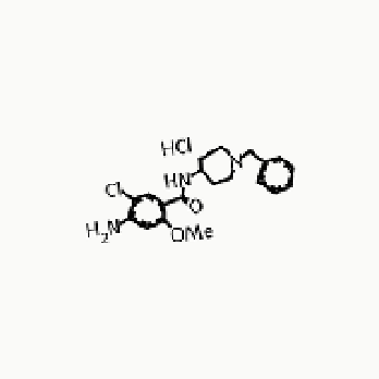 COc1cc(N)c(Cl)cc1C(=O)NC1CCN(Cc2ccccc2)CC1.Cl